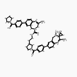 CCOC(=O)N1Cc2cc(-c3ccc(C(=O)N4CCC(CCOC(=O)N5CC(N)=Nc6ccc(-c7ccc(C(=O)N8CCCC8)cc7)cc6C5)C4)cc3)ccc2N=C(N)C12CC2